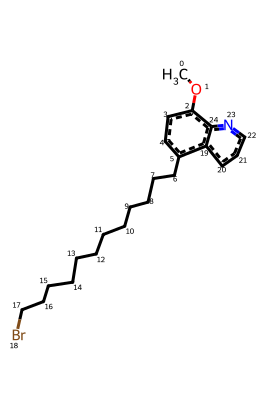 COc1ccc(CCCCCCCCCCCCBr)c2cccnc12